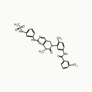 Cc1ccc(NC(=O)c2cccc(C(F)(F)F)c2)cc1N1Cc2cnc(Nc3cccc(NS(C)(=O)=O)c3)nc2N(C)C1=O